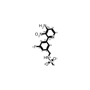 CS(=O)(=O)NCc1cc(F)cc(-c2nccc(N)c2[N+](=O)[O-])c1